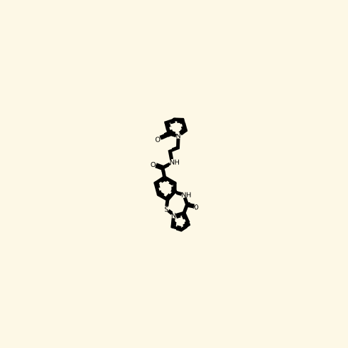 O=C(NCCn1ccccc1=O)c1ccc2c(c1)NC(=O)c1cccn1S2